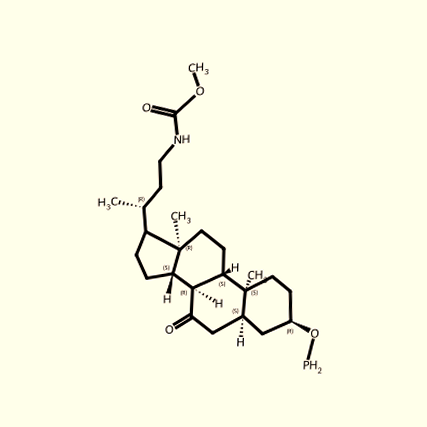 COC(=O)NCC[C@@H](C)C1CC[C@H]2[C@@H]3C(=O)C[C@@H]4C[C@H](OP)CC[C@]4(C)[C@H]3CC[C@]12C